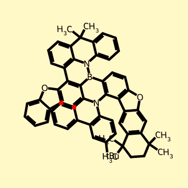 CC(C)(C)c1ccc(N2c3cc4c(oc5ccccc54)c4c3B(c3ccc5oc6cc7c(cc6c5c32)C(C)(C)CCC7(C)C)N2c3ccccc3C(C)(C)c3cccc-4c32)c(-c2ccccc2)c1